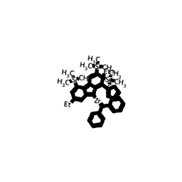 CCc1cc([Si](C)(C)C)c2c(c1)=[C]([Zr]=[C](c1ccccc1)c1ccccc1)C1=C(C3=CC=CC3)C(CC)([Si](C)(C)C)C([Si](C)(C)C)=CC=21